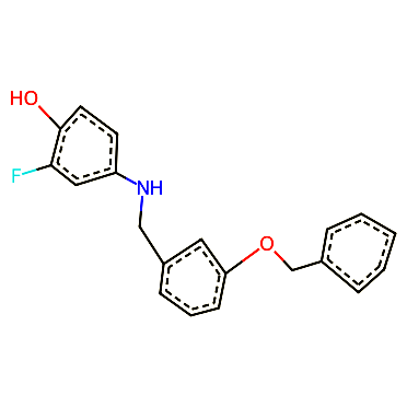 Oc1ccc(NCc2cccc(OCc3ccccc3)c2)cc1F